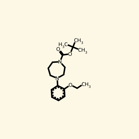 CCOc1ccccc1N1CCCN(C(=O)OC(C)(C)C)CC1